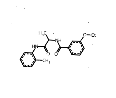 CCOc1cccc(C(=O)NC(C)C(=O)Nc2ccccc2C)c1